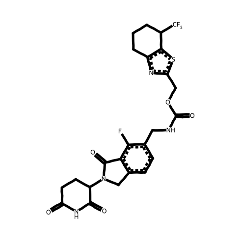 O=C1CCC(N2Cc3ccc(CNC(=O)OCc4nc5c(s4)C(C(F)(F)F)CCC5)c(F)c3C2=O)C(=O)N1